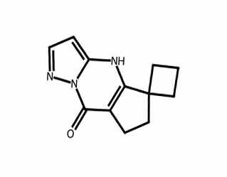 O=c1c2c([nH]c3ccnn13)C1(CCC1)CC2